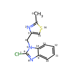 Cc1nc(Cn2c(Cl)nc3ccccc32)cs1